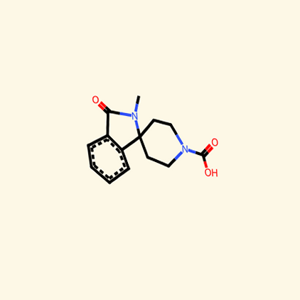 CN1C(=O)c2ccccc2C12CCN(C(=O)O)CC2